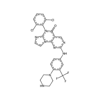 O=c1c2cnc(Nc3ccc(N4CCNCC4)c(C(F)(F)F)c3)nc2n2ccnc2n1-c1c(Cl)cccc1Cl